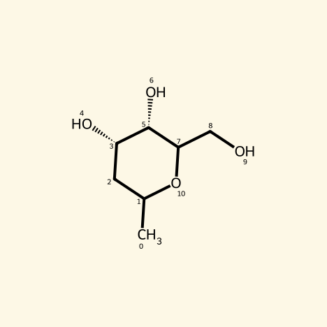 CC1C[C@H](O)[C@H](O)C(CO)O1